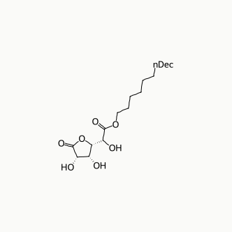 CCCCCCCCCCCCCCCCOC(=O)C(O)[C@H]1OC(=O)[C@@H](O)[C@H]1O